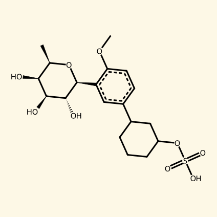 COc1ccc(C2CCCC(OS(=O)(=O)O)C2)cc1[C@@H]1O[C@H](C)[C@H](O)[C@H](O)[C@H]1O